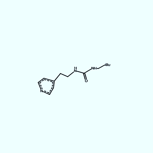 CCC(C)CNC(=O)NCCc1ccncc1